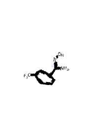 N/C(=N\O)c1cccc(C(F)(F)F)c1